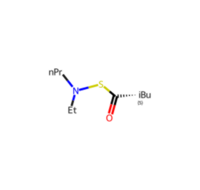 CCCN(CC)SC(=O)[C@@H](C)CC